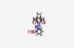 O=C1[C@@H]2C3C=CC(C3)[C@@H]2C(=O)N1c1nc2c(O)cccc2s1